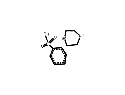 C1CNCCN1.O=S(=O)(O)c1ccccc1